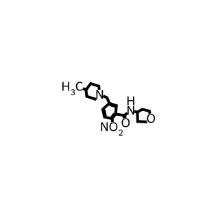 CC1CCN(Cc2ccc([N+](=O)[O-])c(C(=O)NC3CCOCC3)c2)CC1